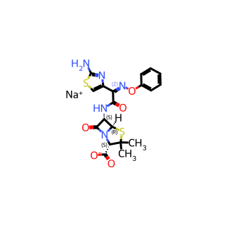 CC1(C)S[C@@H]2[C@@H](NC(=O)/C(=N\Oc3ccccc3)c3csc(N)n3)C(=O)N2[C@H]1C(=O)[O-].[Na+]